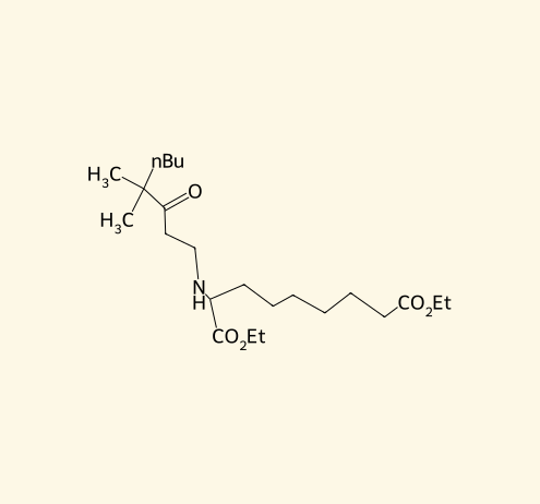 CCCCC(C)(C)C(=O)CCNC(CCCCCCC(=O)OCC)C(=O)OCC